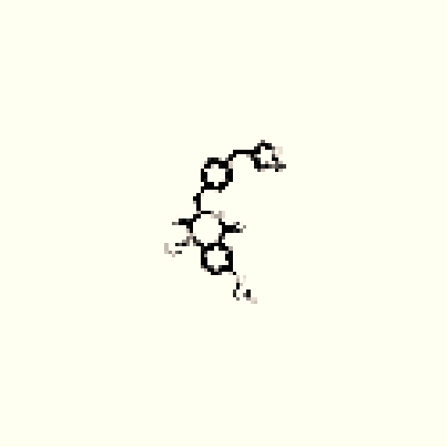 COc1ccc2c(c1)C(=O)NC(Cc1ccc(Cc3cn[nH]c3)cc1)C(=O)N2C